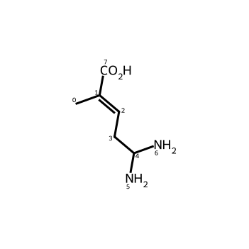 CC(=CCC(N)N)C(=O)O